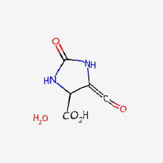 O.O=C=C1NC(=O)NC1C(=O)O